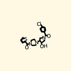 O=C(c1ccc(Cl)cc1)N1CC(O)C(N2CCN(C(=O)c3cccs3)CC2)C1